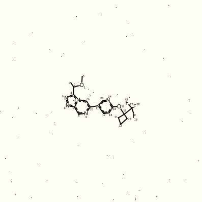 COC(C)c1nnc2cnc(-c3ccc(OC4(C(F)(F)F)CCC4)nc3)cn12